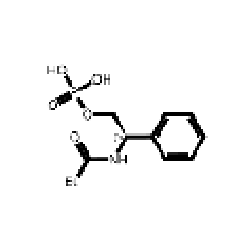 CCC(=O)N[C@@H](COP(=O)(O)O)c1ccccc1